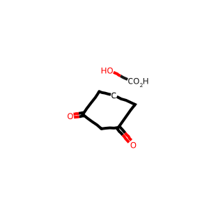 O=C(O)O.O=C1CCCC(=O)C1